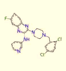 Fc1ccc2nc(N3CCN(Cc4cc(Cl)ccc4Cl)CC3)c(Nc3cccnc3)nc2c1